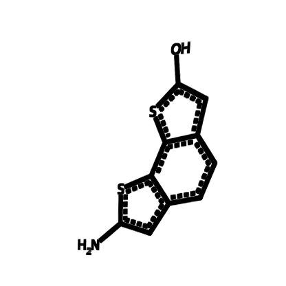 Nc1cc2ccc3cc(O)sc3c2s1